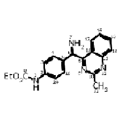 CCOC(=O)Nc1ccc(C(N)c2nc(C)nc3ccccc23)cc1